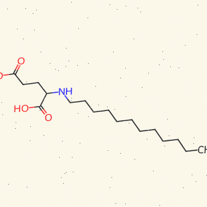 CCCCCCCCCCCCNC(CCC(=O)O)C(=O)O